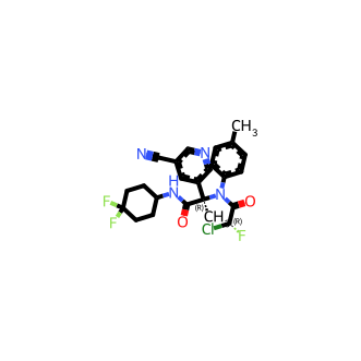 Cc1ccc(N(C(=O)[C@H](F)Cl)[C@@](C)(C(=O)NC2CCC(F)(F)CC2)c2cncc(C#N)c2)cc1